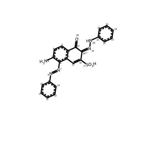 Nc1ccc2c(c1N=Nc1ccccc1)C=C(S(=O)(=O)O)/C(=N/Nc1ccccc1)C2=O